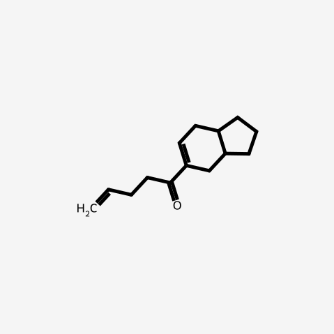 C=CCCC(=O)C1=CCC2CCCC2C1